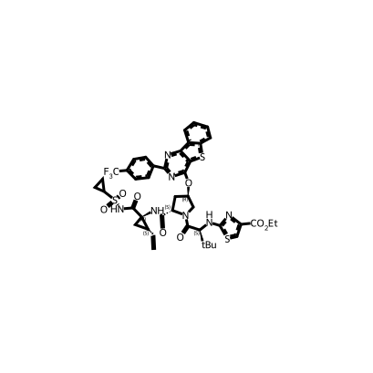 C=C[C@@H]1C[C@]1(NC(=O)[C@@H]1C[C@@H](Oc2nc(-c3ccc(C(F)(F)F)cc3)nc3c2sc2ccccc23)CN1C(=O)[C@@H](Nc1nc(C(=O)OCC)cs1)C(C)(C)C)C(=O)NS(=O)(=O)C1CC1